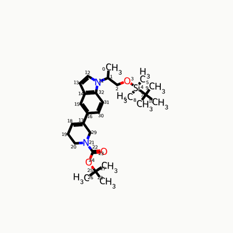 CC(CO[Si](C)(C)C(C)(C)C)n1ccc2cc(C3=CCCN(C(=O)OC(C)(C)C)C3)ccc21